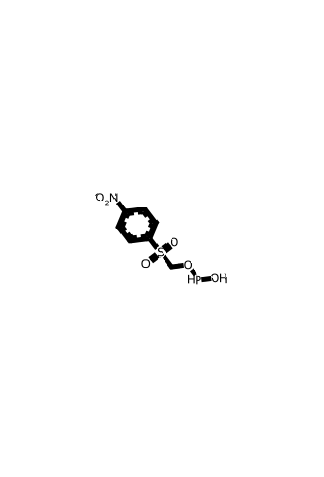 O=[N+]([O-])c1ccc(S(=O)(=O)COPO)cc1